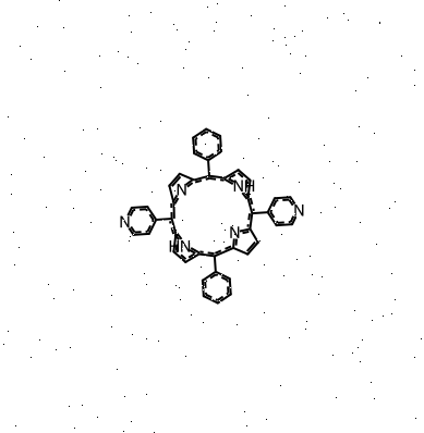 C1=Cc2nc1c(-c1ccccc1)c1ccc([nH]1)c(-c1ccncc1)c1nc(c(-c3ccccc3)c3ccc([nH]3)c2-c2ccncc2)C=C1